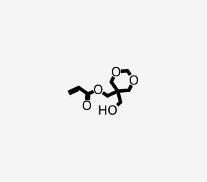 C=CC(=O)OCC1(CO)COCOC1